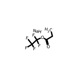 CCC(=O)OC(F)(F)C(F)(F)F.[NaH]